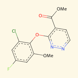 COC(=O)c1ccnnc1Oc1c(Cl)cc(F)cc1OC